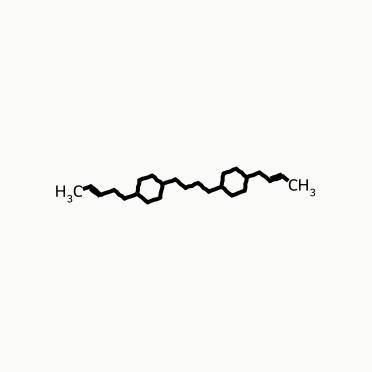 CC=CCCC1CCC(CCCCC2CCC(CC=CC)CC2)CC1